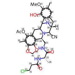 COc1c(C)cc2c(c1O)C1C3Cc4c(OC(C)=O)c(C)c5c(c4[C@H](CNC(=O)[C@H](C)NC(=O)CCCl)N3C(C#N)[C@@H](C2)N1C)OCO5